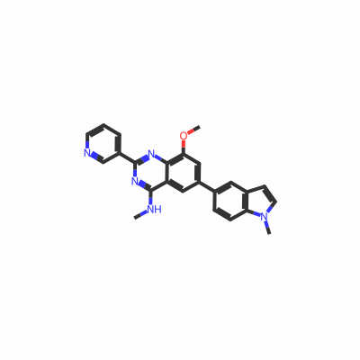 CNc1nc(-c2cccnc2)nc2c(OC)cc(-c3ccc4c(ccn4C)c3)cc12